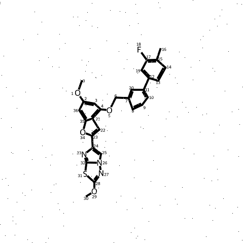 COc1cc(OCc2cccc(-c3ccc(C)c(F)c3)c2)c2cc(-c3cn4nc(OC)sc4n3)oc2c1